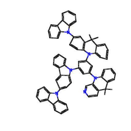 CC1(C)c2ccccc2N(c2cc(N3c4ccccc4C(C)(C)c4cc(-n5c6ccccc6c6ccccc65)ccc43)cc(-n3c4ccccc4c4cc(-n5c6ccccc6c6ccccc65)ccc43)c2)c2cnccc21